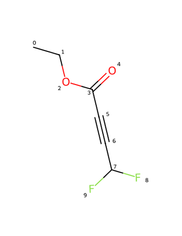 CCOC(=O)C#CC(F)F